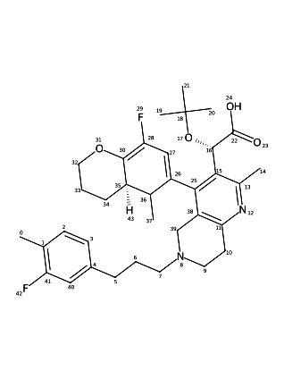 Cc1ccc(CCCN2CCc3nc(C)c([C@H](OC(C)(C)C)C(=O)O)c(C4=CC(F)=C5OCCC[C@@H]5C4C)c3C2)cc1F